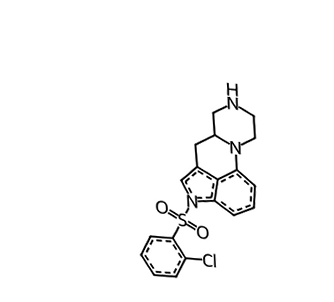 O=S(=O)(c1ccccc1Cl)n1cc2c3c(cccc31)N1CCNCC1C2